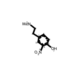 CNCCc1ccc(O)c([N+](=O)[O-])c1